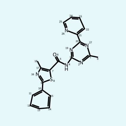 Cc1nc(NC(=O)c2sc(-c3ccccc3)nc2C)nc(-c2ccccn2)n1